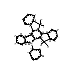 CC1(C)c2ccccc2-c2c1c1c(c3c2c2ccccc2n3-c2ccccc2)C(C)(C)c2ccccc2-1